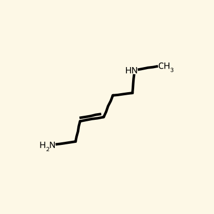 CNCC/C=C/CN